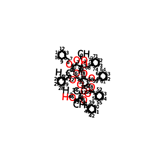 CC(=O)OC1[C@@H](OCc2ccccc2)C(C)O[C@H](O[C@@H]2C(COCc3ccccc3)O[C@@H](OC(C)[C@@H](OCc3ccccc3)C(C)O)C(OC(=O)c3ccccc3)C2OCc2ccccc2)[C@H]1OCc1ccccc1